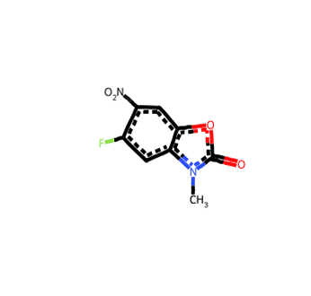 Cn1c(=O)oc2cc([N+](=O)[O-])c(F)cc21